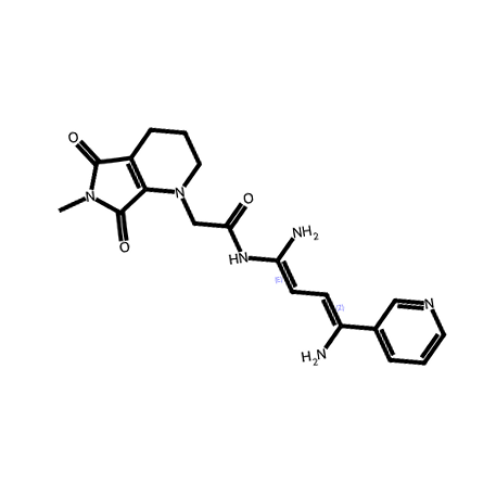 CN1C(=O)C2=C(C1=O)N(CC(=O)N/C(N)=C/C=C(\N)c1cccnc1)CCC2